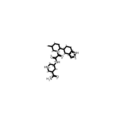 CC1CCC(C2CCc3[nH]ncc3C2)N(C(=O)C(=O)NC2CNCC(C(N)=O)C2)C1